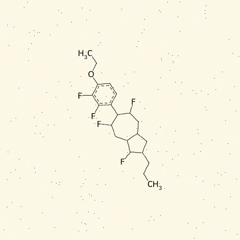 CCCC1CC2CC(F)C(c3ccc(OCC)c(F)c3F)C(F)CC2C1F